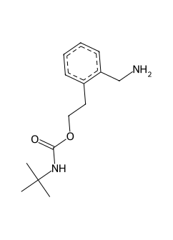 CC(C)(C)NC(=O)OCCc1ccccc1CN